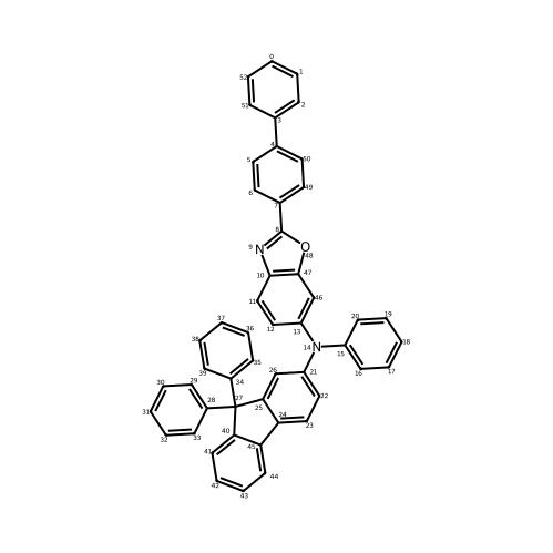 c1ccc(-c2ccc(-c3nc4ccc(N(c5ccccc5)c5ccc6c(c5)C(c5ccccc5)(c5ccccc5)c5ccccc5-6)cc4o3)cc2)cc1